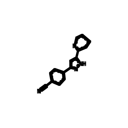 N#Cc1ccc(-c2cc(-c3ccccn3)[nH]n2)cc1